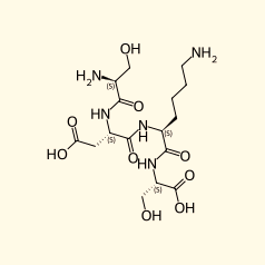 NCCCC[C@H](NC(=O)[C@H](CC(=O)O)NC(=O)[C@@H](N)CO)C(=O)N[C@@H](CO)C(=O)O